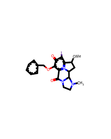 COC1CC2C3N(C)CCN3C(=O)c3c(OCc4ccccc4)c(=O)c(I)c1n32